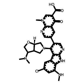 CNc1cc(Cl)cc2c1[nH]c1ncc(-c3cnc4c(c3)c(=O)c(C(=O)O)cn4C)c(N3CC4C(N(C)C)CO[C@@H]4C3)c12